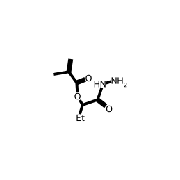 C=C(C)C(=O)OC(CC)C(=O)NN